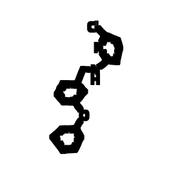 Clc1cccc(NCc2cccc(Oc3ccccc3)c2)n1